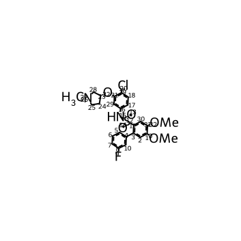 COc1cc(-c2cccc(F)c2)c(S(=O)(=O)Nc2ccc(Cl)c(O[C@@H]3CCN(C)C3)c2)cc1OC